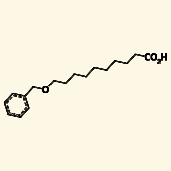 O=C(O)CCCCCCCCCOCc1ccccc1